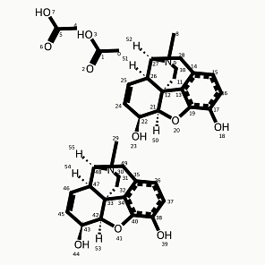 CC(=O)O.CC(=O)O.CN1CC[C@]23c4c5ccc(O)c4O[C@H]2[C@@H](O)C=C[C@H]3[C@H]1C5.CN1CC[C@]23c4c5ccc(O)c4O[C@H]2[C@@H](O)C=C[C@H]3[C@H]1C5